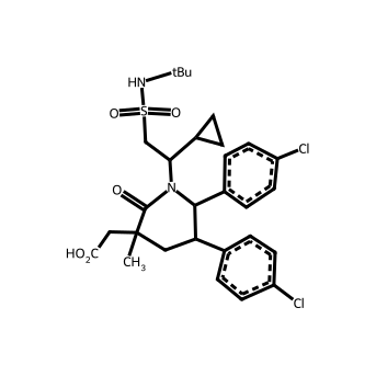 CC(C)(C)NS(=O)(=O)CC(C1CC1)N1C(=O)C(C)(CC(=O)O)CC(c2ccc(Cl)cc2)C1c1ccc(Cl)cc1